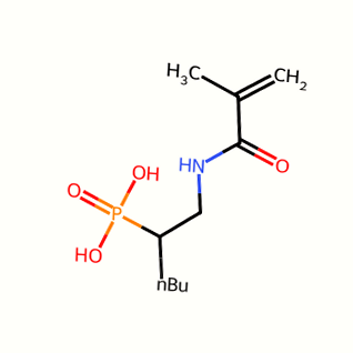 C=C(C)C(=O)NCC(CCCC)P(=O)(O)O